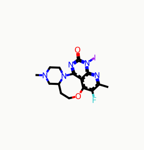 Cc1nc2c3c(nc(=O)n2I)N2CCN(C)CC2CCOc3c1F